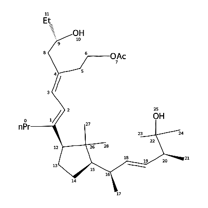 CCC/C(=C\C=C(/CCOC(C)=O)C[C@@H](O)CC)[C@@H]1CC[C@H]([C@H](C)/C=C/[C@H](C)C(C)(C)O)C1(C)C